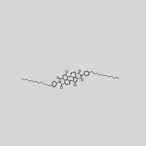 CCCCCCCCCCCCc1ccc(N2C(=O)c3ccc4c5c(Cl)cc6c7c(ccc(c8c(Cl)cc(c3c48)C2=O)c75)C(=O)N(c2ccc(CCCCCCCCCCCC)cc2)C6=O)cc1